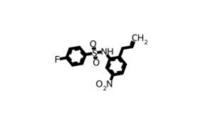 C=CCc1ccc([N+](=O)[O-])cc1NS(=O)(=O)c1ccc(F)cc1